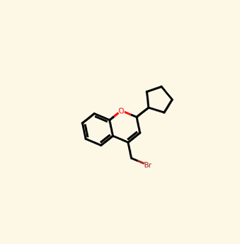 BrCC1=CC(C2CCCC2)Oc2ccccc21